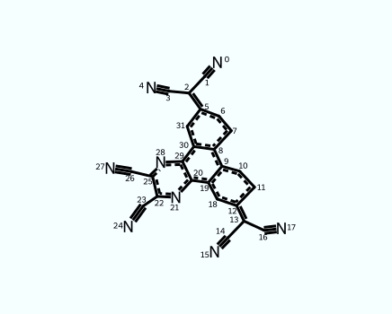 N#CC(C#N)=c1ccc2c3ccc(=C(C#N)C#N)cc3c3nc(C#N)c(C#N)nc3c2c1